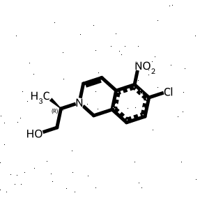 C[C@H](CO)N1C=Cc2c(ccc(Cl)c2[N+](=O)[O-])C1